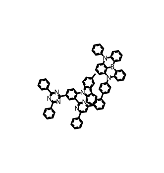 Cc1ccc2c(c1)c1ccccc1n2-c1ccc(-c2nc(-c3ccccc3)nc(-c3ccccc3)n2)cc1-c1nc(-c2ccccc2)cc(-c2cccc(-c3ccc(N4c5ccccc5B5c6ccccc6N(c6ccccc6)c6cccc4c65)cc3)c2)n1